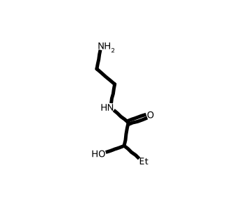 [CH2]CC(O)C(=O)NCCN